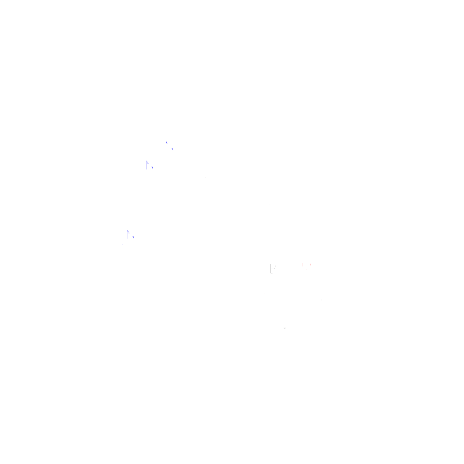 Cn1nc(N)c2cc(B3OC(C)(C)C(C)(C)O3)ccc21